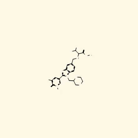 CCCCOC(=O)C(NCc1ccc2c(c1)nc(-c1cc(C)c(=O)n(C)c1)n2CC1COCCO1)C(C)O